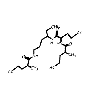 CC(=O)CCC(C)C(=O)NCCCC(CC=O)NC(=O)C(CCC(C)=O)NC(=O)C(C)CCC(C)=O